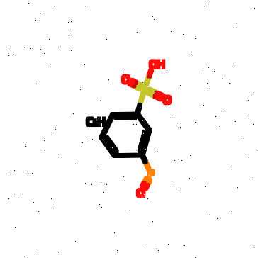 O=Pc1cccc(S(=O)(=O)O)c1.[CsH]